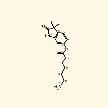 CC1(C)C(=O)Nc2cc(NC(=O)CCCCCN)ccc21